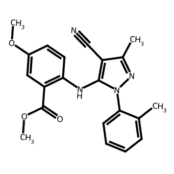 COC(=O)c1cc(OC)ccc1Nc1c(C#N)c(C)nn1-c1ccccc1C